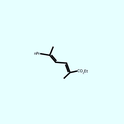 CCC/C(C)=C/C=C(\C)C(=O)OCC